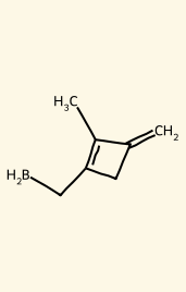 BCC1=C(C)C(=C)C1